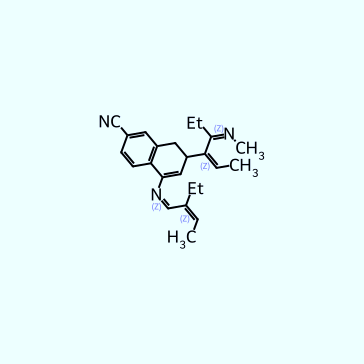 C/C=C(\C=N/C1=CC(C(=C/C)/C(CC)=N\C)Cc2cc(C#N)ccc21)CC